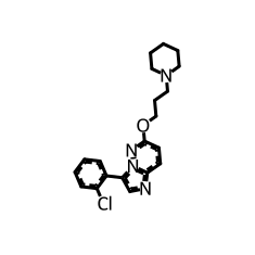 Clc1ccccc1-c1cnc2ccc(OCCCN3CCCCC3)nn12